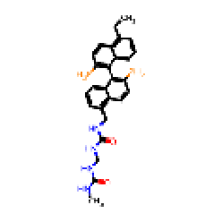 CCc1cccc2c(-c3c(P)ccc4c(CNC(=O)NCNC(=O)NC)cccc34)c(P)ccc12